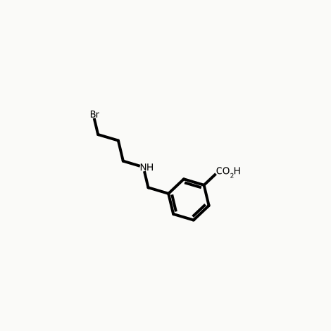 O=C(O)c1cccc(CNCCCBr)c1